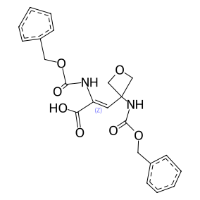 O=C(N/C(=C\C1(NC(=O)OCc2ccccc2)COC1)C(=O)O)OCc1ccccc1